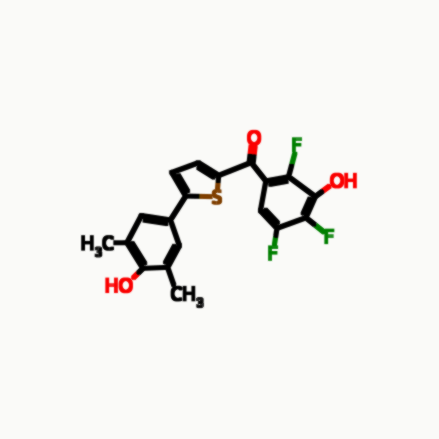 Cc1cc(-c2ccc(C(=O)c3cc(F)c(F)c(O)c3F)s2)cc(C)c1O